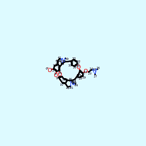 COc1cc2c3c4c1Oc1cc5c(cc1O4)[C@H](Cc1ccc(OCCN(C)C)c(c1)Oc1ccc(cc1)C[C@@H]3N(C)CC2)N(C)CC5